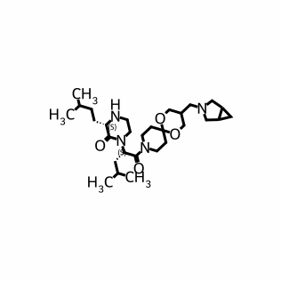 CC(C)CC[C@@H]1NCCN([C@@H](CC(C)C)C(=O)N2CCC3(CC2)OCC(CN2CC4CC4C2)CO3)C1=O